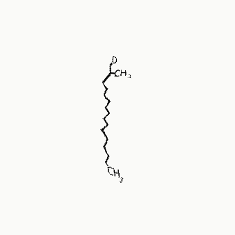 CCCCCCCCCCCCC/C=C(\C)C=O